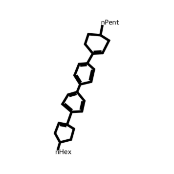 CCCCCCC1CC=C(c2ccc(-c3ccc(C4=CCC(CCCCC)CC4)cc3)cc2)CC1